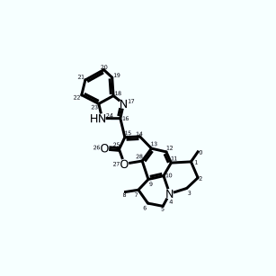 CC1CCN2CCC(C)c3c2c1cc1cc(-c2nc4ccccc4[nH]2)c(=O)oc31